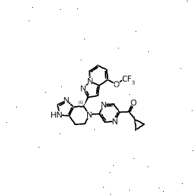 O=C(c1cnc(N2CCc3[nH]cnc3[C@H]2c2cc3c(OC(F)(F)F)cccn3n2)cn1)C1CC1